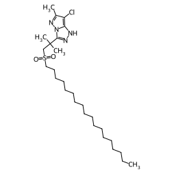 CCCCCCCCCCCCCCCCCCS(=O)(=O)CC(C)(C)c1n[nH]c2c(Cl)c(C)nn12